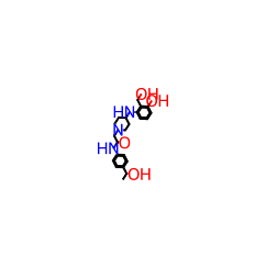 CC(O)c1ccc(NC(=O)CN2CCC(Nc3cccc(O)c3CO)CC2)cc1